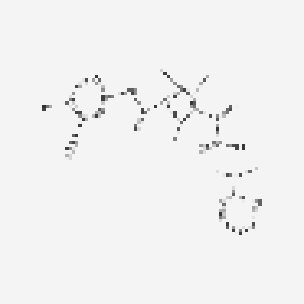 Cc1c(C(=O)C(=O)NC(C)(C)c2ccccn2)c(C)n(C)c1C(=O)Nc1ccc(F)c(C#N)c1